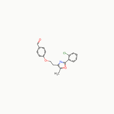 Cc1oc(-c2ccccc2Cl)nc1CCOc1ccc(C=O)cc1